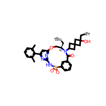 Cc1cccc(C)c1-c1cc2nc(n1)NS(=O)(=O)c1cccc(c1)C(=O)N(C1CC3(C1)CC(O)(CC(C)C)C3)[C@H](CC(C)(C)C)CO2